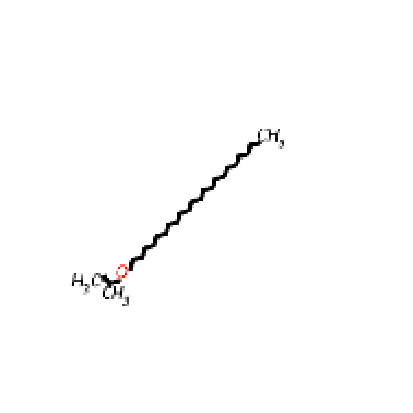 CCCCCCCCCCCCCCCCCCCCCCCCOCC(C)CC